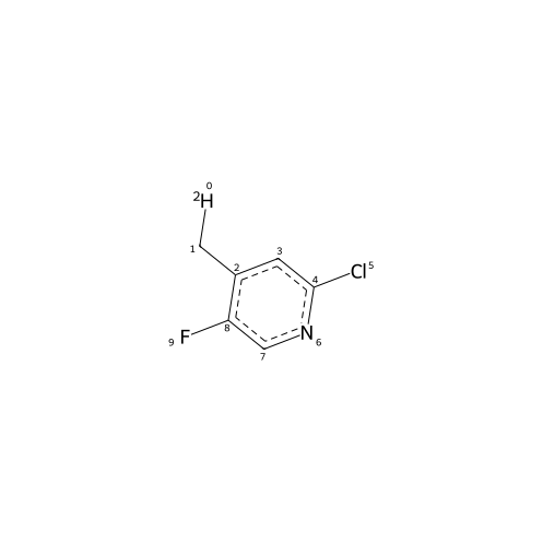 [2H]Cc1cc(Cl)ncc1F